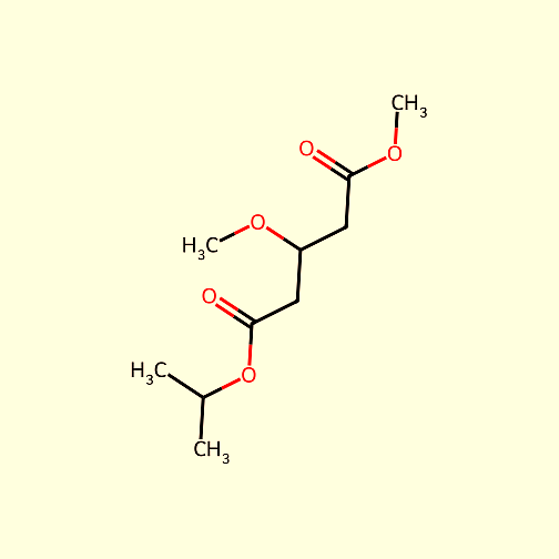 COC(=O)CC(CC(=O)OC(C)C)OC